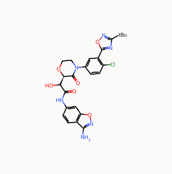 CC(C)(C)c1noc(-c2cc(N3CCO[C@H](C(O)C(=O)Nc4ccc5c(N)noc5c4)C3=O)ccc2Cl)n1